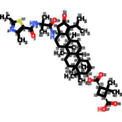 Cc1nc(C)c(C(=O)NC(C)(C)C(=O)N[C@@]23CC[C@]4(C)[C@H](CC[C@@H]5[C@@]6(C)CC[C@H](OC(=O)[C@H]7C[C@@H](C(=O)O)C7(C)C)C(C)(C)[C@@H]6CC[C@]54C)C2=C(C(C)C)C(=O)C3)s1